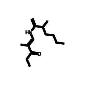 C=C(N/C=C(\C)C(=O)CC)C(C)CCCC